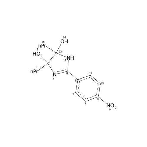 CCCC1(O)N=C(c2ccc([N+](=O)[O-])cc2)NC1(O)CCC